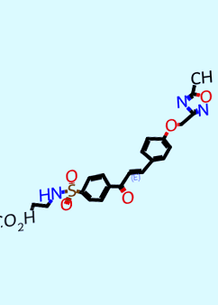 Cc1nc(COc2ccc(/C=C/C(=O)c3ccc(S(=O)(=O)NCCC(=O)O)cc3)cc2)no1